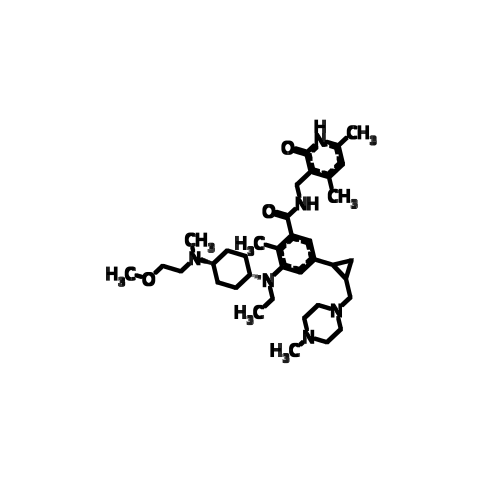 CCN(c1cc(C2CC2CN2CCN(C)CC2)cc(C(=O)NCc2c(C)cc(C)[nH]c2=O)c1C)[C@H]1CC[C@H](N(C)CCOC)CC1